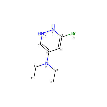 CCN(CC)C1=CNNC(Br)=C1